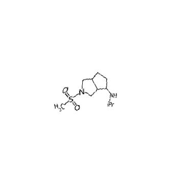 CC(C)NC1CCC2CN(S(C)(=O)=O)CC21